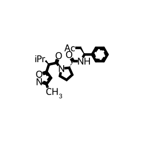 CC(=O)C[C@H](NC(=O)[C@@H]1CCCN1C(=O)[C@@H](c1cc(C)no1)C(C)C)c1ccccc1